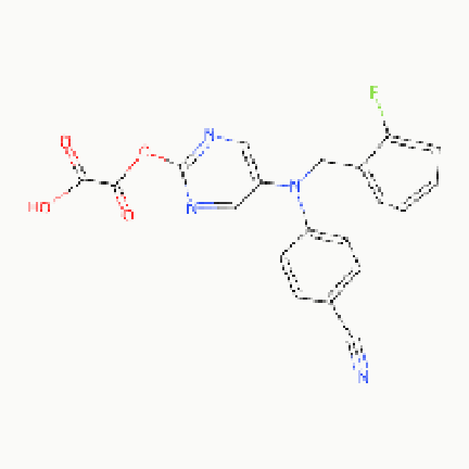 N#Cc1ccc(N(Cc2ccccc2F)c2cnc(OC(=O)C(=O)O)nc2)cc1